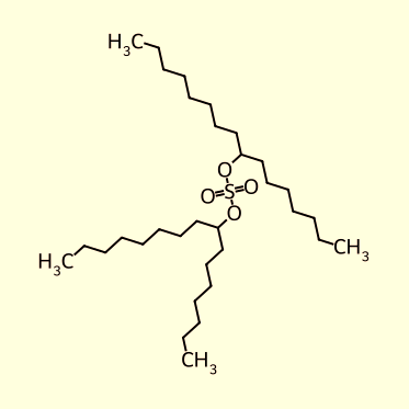 CCCCCCCCC(CCCCCCC)OS(=O)(=O)OC(CCCCCCC)CCCCCCCC